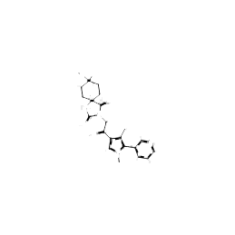 Cc1c(C(=O)CN2C(=O)NC3(CCC(F)(F)CC3)C2=O)cn(C)c1-c1cccnc1